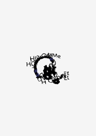 CCN(CC)CCOc1cccc2oc3c4c(=O)c5cc(C)c6c(c5c-3nc12)C(=O)[C@@](C)(O/C=C/[C@H](OC)[C@@H](C)[C@@H](OC(C)=O)[C@H](C)[C@H](O)[C@H](C)[C@@H](O)[C@@H](C)/C=C/C=C(/C)C(=O)N4)O6